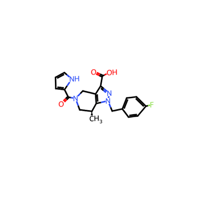 C[C@H]1CN(C(=O)c2ccc[nH]2)Cc2c(C(=O)O)nn(Cc3ccc(F)cc3)c21